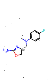 CN(C[C@@H]1COC(N)=N1)c1ccc(F)cc1